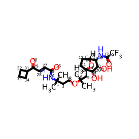 CC(C)(CCOC(C)(C)C[C@@]12CC[C@@H](O1)[C@@H](NC(=O)C(F)(F)F)[C@@H](O)[C@H]2O)NC(=O)/C=C/C(=O)C1CCC1